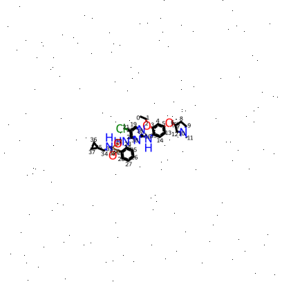 CCOc1cc(O[C@H]2CCN(C)C2)ccc1Nc1ncc(Cl)c(Nc2ccccc2S(=O)(=O)NCC2CC2)n1